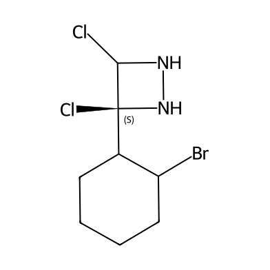 ClC1NN[C@]1(Cl)C1CCCCC1Br